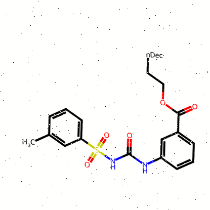 CCCCCCCCCCCCOC(=O)c1cccc(NC(=O)NS(=O)(=O)c2cccc(C)c2)c1